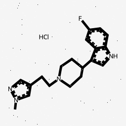 Cl.Cn1cc(CCN2CCC(c3c[nH]c4ccc(F)cc34)CC2)cn1